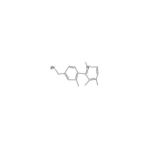 Cc1cc(CC(C)C)ccc1-c1c(C)c(C)cc[n+]1C